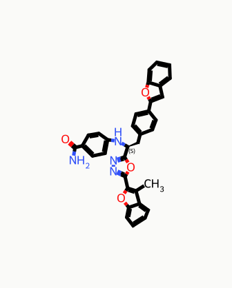 Cc1c(-c2nnc([C@H](Cc3ccc(-c4cc5ccccc5o4)cc3)Nc3ccc(C(N)=O)cc3)o2)oc2ccccc12